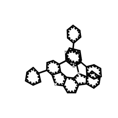 c1ccc(-c2nc(-c3ccccc3)nc(-c3ccc(-c4ccccc4)c4oc5ccc6c7ccccc7n(-c7ccccc7)c6c5c34)n2)cc1